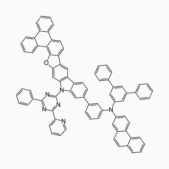 c1ccc(-c2cc(-c3ccccc3)cc(N(c3cccc(-c4ccc5c6cc7c(cc6n(-c6nc(-c8ccccc8)nc(-c8ccccn8)n6)c5c4)oc4c7ccc5c6ccccc6c6ccccc6c54)c3)c3ccc4c(ccc5ccccc54)c3)c2)cc1